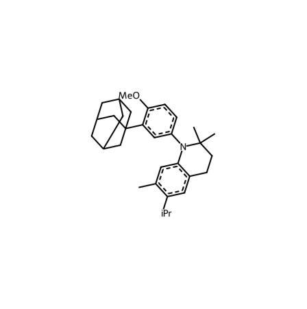 COc1ccc(N2c3cc(C)c(C(C)C)cc3CCC2(C)C)cc1C12CC3CC(CC(C3)C1)C2